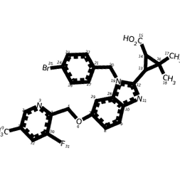 Cc1cnc(COc2ccc3nc(C4C(C(=O)O)C4(C)C)n(Cc4ccc(Br)cc4)c3c2)c(F)c1